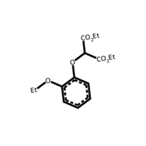 CCOC(=O)C(Oc1ccccc1OCC)C(=O)OCC